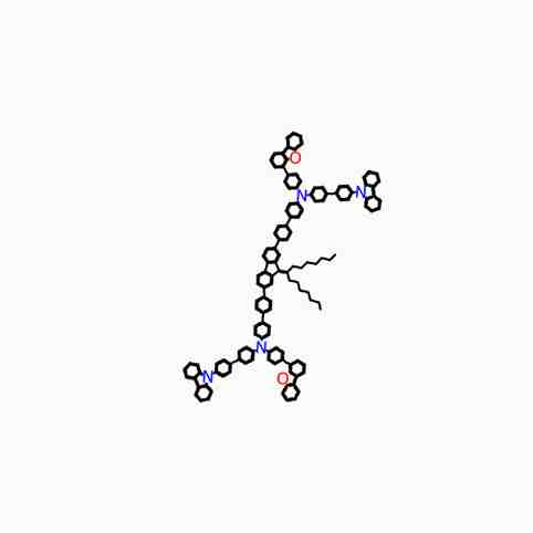 CCCCCCCC(CCCCCCC)=C1c2cc(-c3ccc(-c4ccc(N(c5ccc(-c6ccc(-n7c8ccccc8c8ccccc87)cc6)cc5)c5ccc(-c6cccc7c6oc6ccccc67)cc5)cc4)cc3)ccc2-c2ccc(-c3ccc(-c4ccc(N(c5ccc(-c6ccc(-n7c8ccccc8c8ccccc87)cc6)cc5)c5ccc(-c6cccc7c6oc6ccccc67)cc5)cc4)cc3)cc21